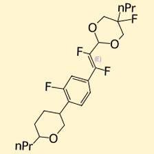 CCCC1CCC(c2ccc(/C(F)=C(\F)C3OCC(F)(CCC)CO3)cc2F)CO1